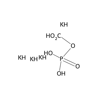 O=C(O)OP(=O)(O)O.[KH].[KH].[KH].[KH]